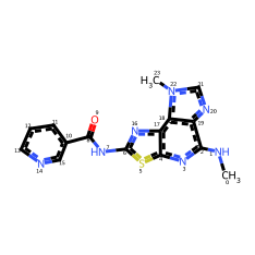 CNc1nc2sc(NC(=O)c3cccnc3)nc2c2c1ncn2C